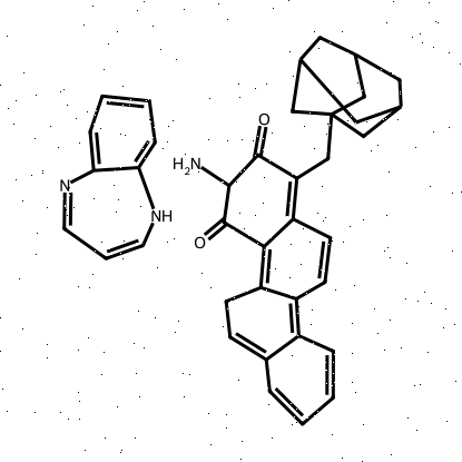 C1=CNc2ccccc2N=C1.NC1C(=O)C(CC23CC4CC(CC(C4)C2)C3)=c2ccc3c(c2C1=O)CC=c1ccccc1=3